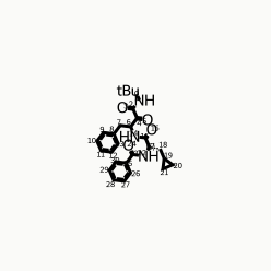 CC(C)(C)NC(=O)C(=O)C(Cc1ccccc1)NC(=O)[C@H](CC1CC1)NC(=O)c1ccccc1